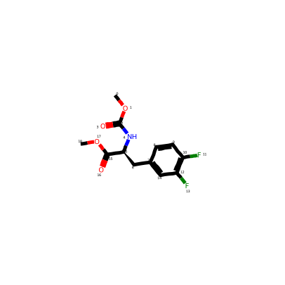 COC(=O)N[C@@H](Cc1ccc(F)c(F)c1)C(=O)OC